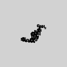 Cc1cc(COCc2cscn2)ccc1C(=O)NC1(c2cc(-c3cc(C(N)=O)n[nH]3)nc3ccccc23)CC1